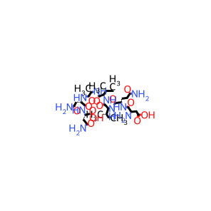 CC[C@H](C)[C@H](NC(=O)[C@H](CCC(N)=O)NC(=O)[C@@H](N)CC(=O)O)C(=O)N[C@H](C(=O)N[C@@H](C)C(=O)N[C@@H](CC(N)=O)C(=O)N[C@@H](CC(N)=O)C(=O)O)[C@@H](C)CC